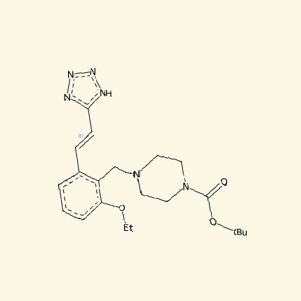 CCOc1cccc(/C=C/c2nnn[nH]2)c1CN1CCN(C(=O)OC(C)(C)C)CC1